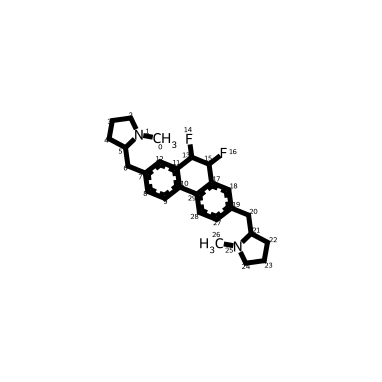 CN1CCCC1Cc1ccc2c(c1)C(F)C(F)c1cc(CC3CCCN3C)ccc1-2